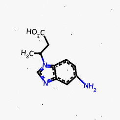 CC(CC(=O)O)n1cnc2cc(N)ccc21